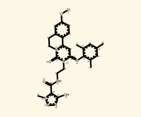 CCOc1ccc2c(c1)CCn1c-2c/c(=N\c2c(C)cc(C)cc2C)n(CCNC(=O)c2c(O)nnn2C)c1=O